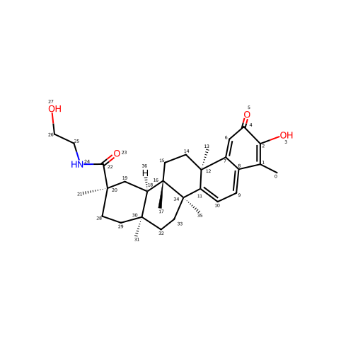 CC1=C(O)C(=O)C=C2C1=CC=C1[C@@]2(C)CC[C@@]2(C)[C@@H]3C[C@](C)(C(=O)NCCO)CC[C@]3(C)CC[C@]12C